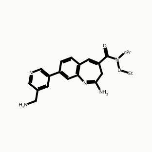 CCCN(OCC)C(=O)C1=Cc2ccc(-c3cncc(CN)c3)cc2N=C(N)C1